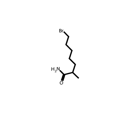 CC(CCCCCBr)C(N)=O